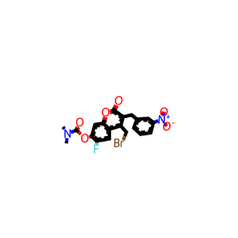 CN(C)C(=O)Oc1cc2oc(=O)c(Cc3cccc([N+](=O)[O-])c3)c(CBr)c2cc1F